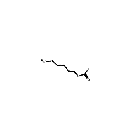 CCCCCCOC(=O)F